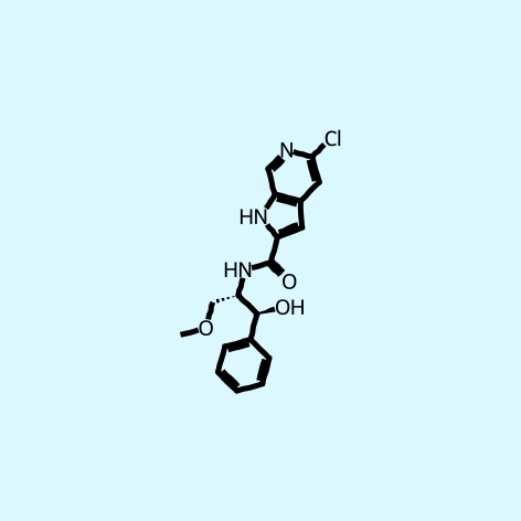 COC[C@H](NC(=O)c1cc2cc(Cl)ncc2[nH]1)[C@@H](O)c1ccccc1